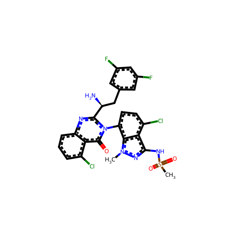 Cn1nc(NS(C)(=O)=O)c2c(Cl)ccc(-n3c([C@@H](N)Cc4cc(F)cc(F)c4)nc4cccc(Cl)c4c3=O)c21